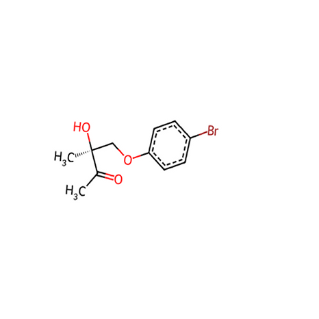 CC(=O)[C@@](C)(O)COc1ccc(Br)cc1